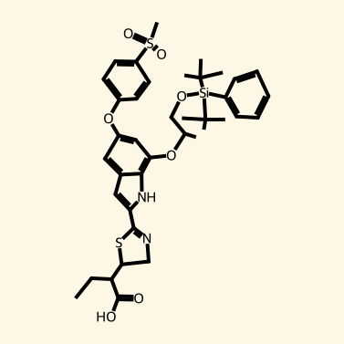 CCC(C(=O)O)C1CN=C(c2cc3cc(Oc4ccc(S(C)(=O)=O)cc4)cc(OC(C)CO[Si](c4ccccc4)(C(C)(C)C)C(C)(C)C)c3[nH]2)S1